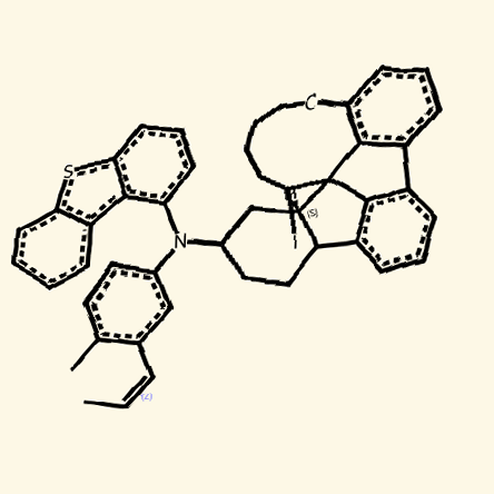 C/C=C\c1cc(N(c2cccc3sc4ccccc4c23)C2CCC3c4cccc5c4C4(c6c(cccc6-5)CCCCCC4I)[C@H]3C2)ccc1C